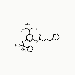 CCCCCC(C)C(C)c1cc(OC(=O)CCCN2CCCC2)c2c(c1)OC(C)(C)C1=C2CCC1